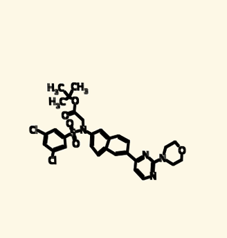 CC(C)(C)OC(=O)CN(c1ccc2cc(-c3ccnc(N4CCOCC4)n3)ccc2c1)S(=O)(=O)c1cc(Cl)cc(Cl)c1